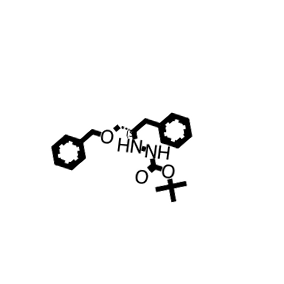 CC(C)(C)OC(=O)NN[C@H](COCc1ccccc1)Cc1ccccc1